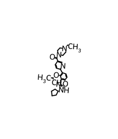 CCN1CCN(C(=O)c2ccc(-c3ccc4oc(NC5CCCC5)nc4c3OC(C)C)nc2)CC1